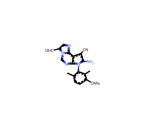 COc1ccc(C)c(-n2c(N)c(C#N)c3c2ncn2c(C=O)cnc32)c1C